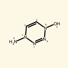 NN1C=CN(O)N=N1